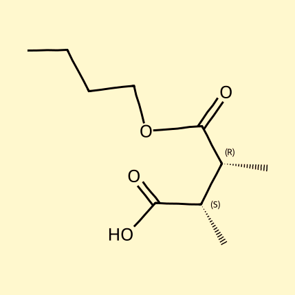 CCCCOC(=O)[C@H](C)[C@H](C)C(=O)O